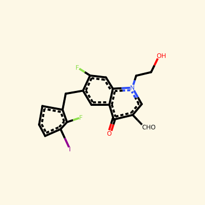 O=Cc1cn(CCO)c2cc(F)c(Cc3cccc(I)c3F)cc2c1=O